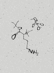 CC(C)(C)OC(=O)C(CCCN)[N+](C)(C)C.COS(=O)(=O)[O-]